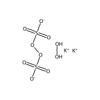 O=S(=O)([O-])OOS(=O)(=O)[O-].OO.[K+].[K+]